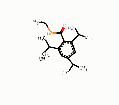 CCPC(=O)c1c(C(C)C)cc(C(C)C)cc1C(C)C.[LiH]